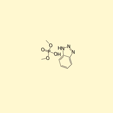 COP(=O)(O)OC.c1ccc2[nH]nnc2c1